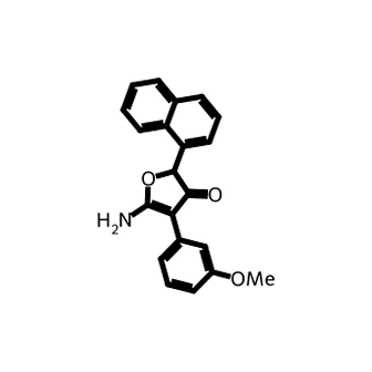 COc1cccc(C2=C(N)OC(c3cccc4ccccc34)C2=O)c1